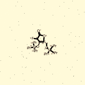 CC(C)[Si](OC[C@H]1OC(=O)C(F)[C@@H]1O[Si](C(C)C)(C(C)C)C(C)C)(C(C)C)C(C)C